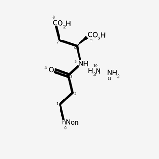 CCCCCCCCCCCC(=O)N[C@@H](CC(=O)O)C(=O)O.N.N